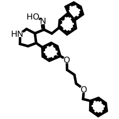 ON=C(Cc1ccc2ccccc2c1)C1CNCCC1c1ccc(OCCCOCc2ccccc2)cc1